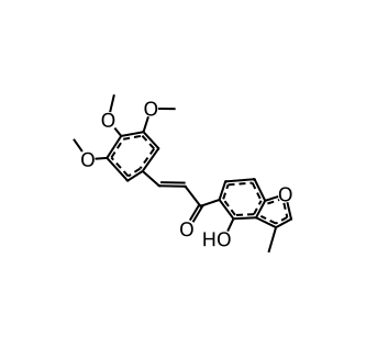 COc1cc(/C=C/C(=O)c2ccc3occ(C)c3c2O)cc(OC)c1OC